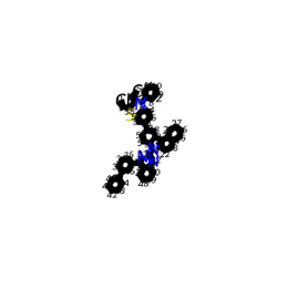 C=CC1=C(C=C)N(c2ccccc2)c2ccc(C3=CC4c5c(ccc6ccccc56)N(c5nc(-c6cccc(-c7ccccc7)c6)c6ccccc6n5)C4C=C3)cc2S1